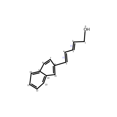 OC/C=C/C=C/c1ccc2ccccc2c1